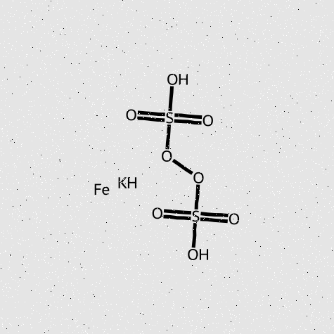 O=S(=O)(O)OOS(=O)(=O)O.[Fe].[KH]